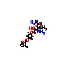 COCCOc1ccc(OCC(O)C(N)C(C)CC(N)=O)cc1